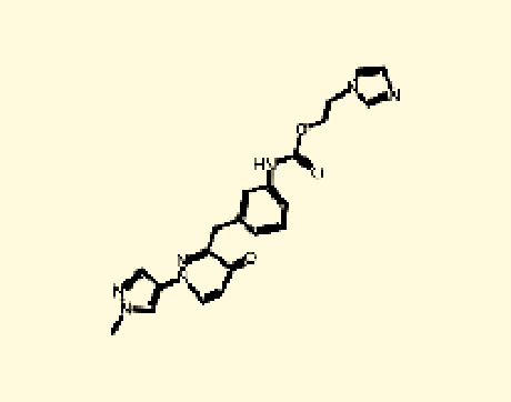 Cn1cc(-n2ccc(=O)c(Cc3cccc(NC(=O)OCCn4ccnc4)c3)n2)cn1